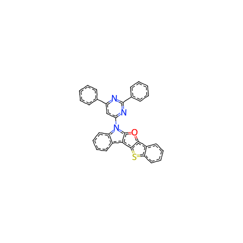 c1ccc(-c2cc(-n3c4ccccc4c4c5sc6ccccc6c5oc43)nc(-c3ccccc3)n2)cc1